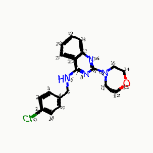 Clc1ccc(CNc2nc(N3CCOCC3)nc3ccccc23)cc1